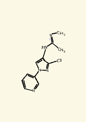 C/N=C(\C)Nc1cn(-c2cccnc2)nc1Cl